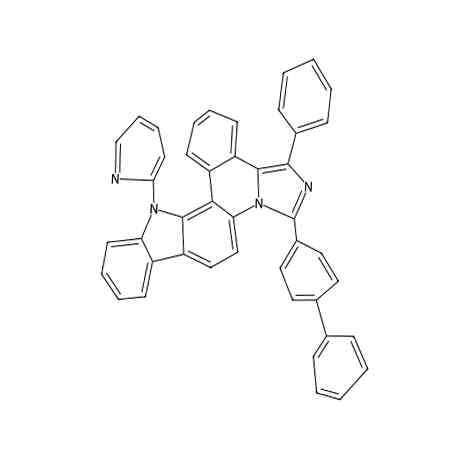 c1ccc(-c2ccc(-c3nc(-c4ccccc4)c4c5ccccc5c5c6c(ccc5n34)c3ccccc3n6-c3ccccn3)cc2)cc1